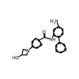 Nc1ccc(-c2ccccc2)c(NC(=O)c2ccc(N3CC(O)C3)cc2)c1